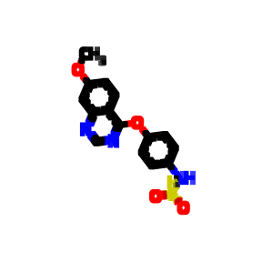 COc1ccc2c(Oc3ccc(N[SH](=O)=O)cc3)ncnc2c1